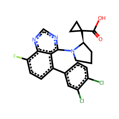 O=C(O)C1([C@H]2CCCN2c2ncnc3c(F)ccc(-c4ccc(Cl)c(Cl)c4)c23)CC1